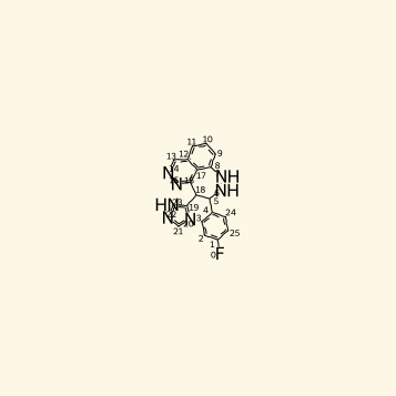 Fc1ccc(C2NNc3cccc4cnnc(c34)C2c2ncn[nH]2)cc1